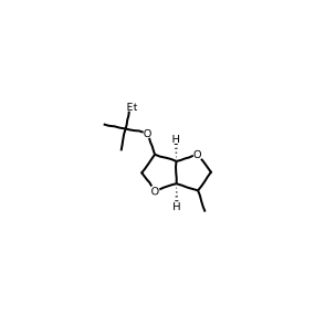 CCC(C)(C)OC1CO[C@@H]2C(C)CO[C@H]12